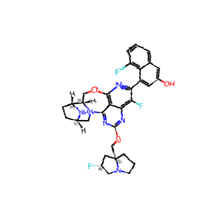 Oc1cc(-c2nc3c4c(nc(OC[C@@]56CCCN5C[C@H](F)C6)nc4c2F)N2C[C@@H]4CC[C@@H](N4)[C@@H]2CO3)c2c(F)cccc2c1